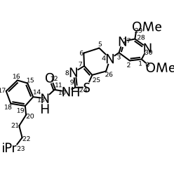 COc1cc(N2CCc3nc(NC(=O)Nc4ccccc4CCCC(C)C)sc3C2)nc(OC)n1